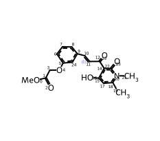 COC(=O)COc1cccc(/C=C/C(=O)c2c(O)cc(C)n(C)c2=O)c1